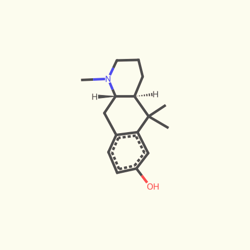 CN1CCC[C@@H]2[C@@H]1Cc1ccc(O)cc1C2(C)C